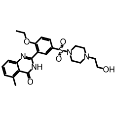 CCOc1ccc(S(=O)(=O)N2CCN(CCO)CC2)cc1-c1nc2cccc(C)c2c(=O)[nH]1